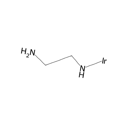 NCC[NH][Ir]